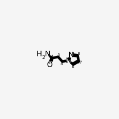 NC(=O)CCn1c[c]cn1